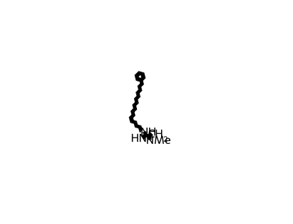 C=C(NC)C(=N)NCCCC/C=C\CCCCCCCCCCCc1ccccc1